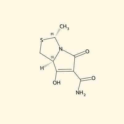 C[C@H]1SC[C@@H]2C(O)=C(C(N)=O)C(=O)N21